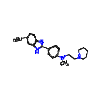 CCCCc1ccc2nc(-c3ccc(N(C)CCN4CCCCC4)cc3)[nH]c2c1